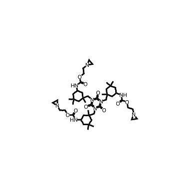 CC1(C)CC(NC(=O)OCCN2CC2)CC(C)(Cn2c(=O)n(CC3(C)CC(NC(=O)OCCN4CC4)CC(C)(C)C3)c(=O)n(CC3(C)CC(NC(=O)OCCN4CC4)CC(C)(C)C3)c2=O)C1